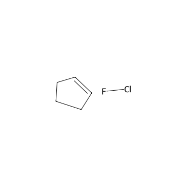 C1=CCCC1.FCl